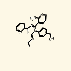 CC/N=C/N(/C(=N\[C@@H](C)C1CC=CC=N1)c1cccnc1N)c1ccc(CO)cc1